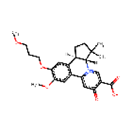 COCCCOc1cc2c(cc1OC)-c1cc(=O)c(C(=O)O)cn1[C@@H]1[C@@H]2CCC1(C)C